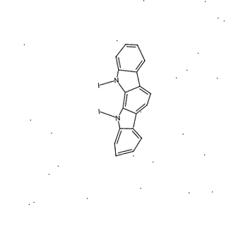 In1c2ccccc2c2ccc3c4ccccc4n(I)c3c21